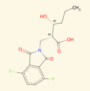 CCC[C@@H](O)[C@@H](CN1C(=O)c2c(F)ccc(F)c2C1=O)C(=O)O